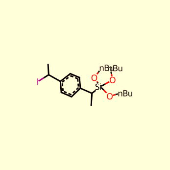 CCCCO[Si](OCCCC)(OCCCC)C(C)c1ccc(C(C)I)cc1